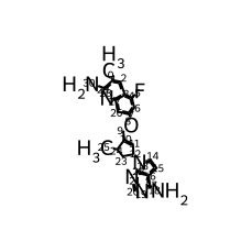 Cc1cc2c(F)cc(OCC3=CC(n4ccc5c(N)ncnc54)CC3C)cc2nc1N